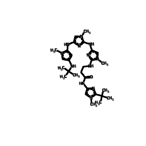 Cn1cc(NC(C)(C)C)cc1Nc1cn(C)c(Nc2cn(C)c(NCCC(=O)Nc3cn(C)c(C(C)(C)C)n3)n2)n1